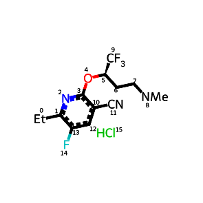 CCc1nc(O[C@H](CCNC)C(F)(F)F)c(C#N)cc1F.Cl